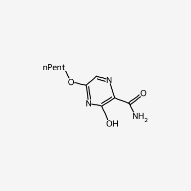 CCCCCOc1cnc(C(N)=O)c(O)n1